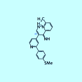 CSc1ccc(-c2cc(/C(=C/N)C(=N)c3cccc(C)n3)ccn2)cc1